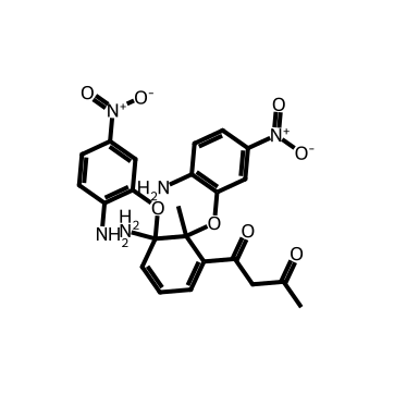 CC(=O)CC(=O)C1=CC=CC(N)(Oc2cc([N+](=O)[O-])ccc2N)C1(C)Oc1cc([N+](=O)[O-])ccc1N